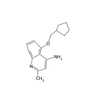 Cc1cc(N)c2c(OCC3CCCC3)cccc2n1